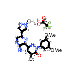 CCc1cc(-c2nc(-c3cnn(C)c3)cnc2N)nn(-c2cc(OC)cc(OC)c2)c1=O.O=C(O)C(F)(F)F